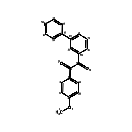 COc1ccc(C(=O)C(=O)c2cccc(-c3ccncc3)c2)cc1